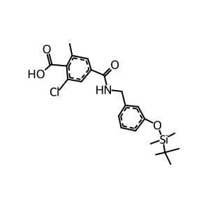 Cc1cc(C(=O)NCc2cccc(O[Si](C)(C)C(C)(C)C)c2)cc(Cl)c1C(=O)O